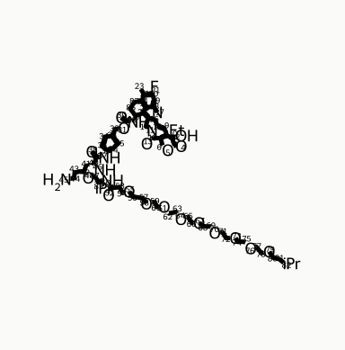 CC[C@@]1(O)C(=O)OCc2c1cc1n(c2=O)Cc2c-1nc1cc(F)c(C)c3c1c2[C@@H](NC(=O)OCc1ccc(NC(=O)[C@H](CCCCN)NC(=O)[C@@H](NC(=O)CCOCCOCCOCCOCCOCCOCCOCCOCCOCCC(C)C)C(C)C)cc1)CC3